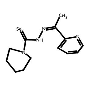 CC(=NNC(=[Se])N1CCCCC1)c1ccccn1